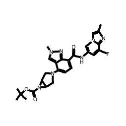 Cc1cn2cc(NC(=O)c3ccc(N4CC5C(C4)N5C(=O)OC(C)(C)C)c4cn(C)nc34)cc(F)c2n1